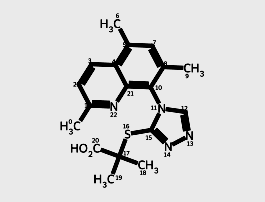 Cc1ccc2c(C)cc(C)c(-n3cnnc3SC(C)(C)C(=O)O)c2n1